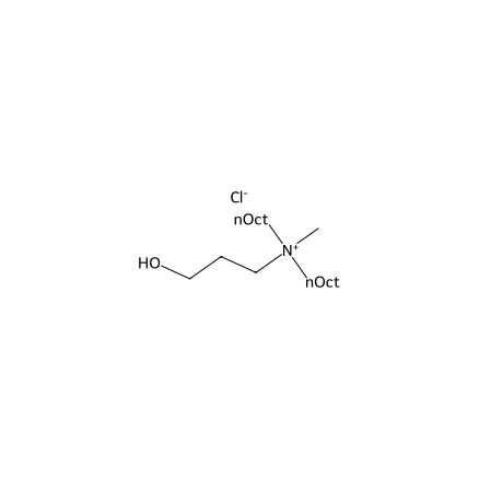 CCCCCCCC[N+](C)(CCCO)CCCCCCCC.[Cl-]